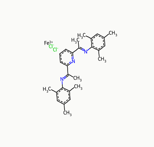 C/C(=N\c1c(C)cc(C)cc1C)c1cccc(/C(C)=N/c2c(C)cc(C)cc2C)n1.[Cl-].[Cl-].[Fe+2]